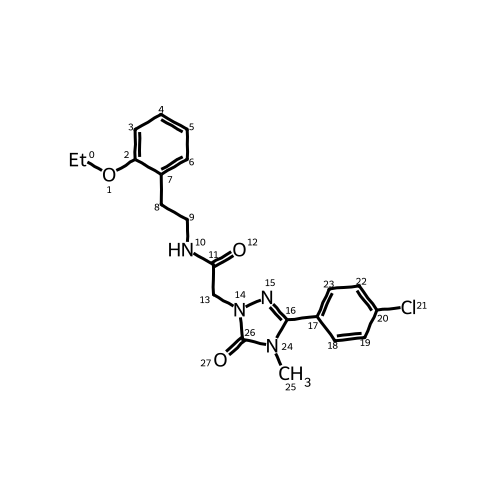 CCOc1ccccc1CCNC(=O)Cn1nc(-c2ccc(Cl)cc2)n(C)c1=O